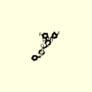 O=C(CN1CC[C@@H]2[C@@H](C1)c1cc(F)ccc1N2c1ccc(F)cc1)N1CCN(Cc2ccccc2)CC1